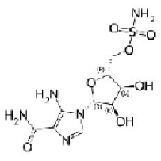 NC(=O)c1ncn([C@@H]2O[C@H](COS(N)(=O)=O)[C@@H](O)[C@H]2O)c1N